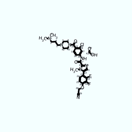 CN(C)CCCN1CCN(C(=O)c2ccc(NC(=O)c3ncc(-c4ccc(OCC#N)c(F)c4F)n3C)cc2Cl)CC1.O=CO